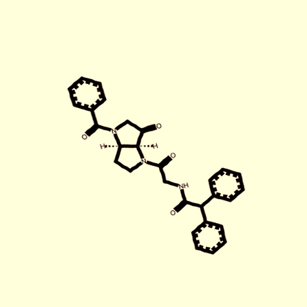 O=C(NCC(=O)N1CC[C@@H]2[C@H]1C(=O)CN2C(=O)c1ccccc1)C(c1ccccc1)c1ccccc1